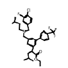 CCOC(=O)C(CC(C)C)c1cc(CN(CCC(C)C)Cc2ccc(Cl)c(F)c2)cc(-c2ccc(C(F)(F)F)cc2)c1